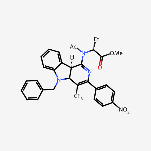 CC[C@@H](C(=O)OC)N(C(C)=O)C1=NC(c2ccc([N+](=O)[O-])cc2)=C(C(F)(F)F)C2[C@H]1c1ccccc1N2Cc1ccccc1